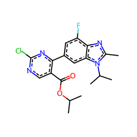 Cc1nc2c(F)cc(-c3nc(Cl)ncc3C(=O)OC(C)C)cc2n1C(C)C